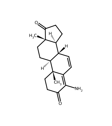 C[C@]12CCC(=O)C(N)=C1C=C[C@@H]1[C@@H]2CC[C@]2(C)C(=O)CC[C@@H]12